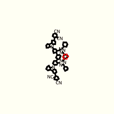 N#Cc1ccc(-c2ccc3c(c2)c2ccccc2n3-c2ccc(-c3cccc(-c4ccc(-n5c6ccccc6c6cc(-c7ccc(C#N)cc7C#N)ccc65)cc4-c4nc(-c5ccccc5)nc(-c5ccccc5)n4)c3)c(-c3nc(-c4ccccc4)nc(-c4ccccc4)n3)c2)c(C#N)c1